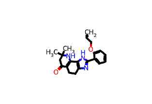 C=CCOc1ccccc1-c1nc2c([nH]1)C1=C(CC2)C(=O)CC(C)(C)N1